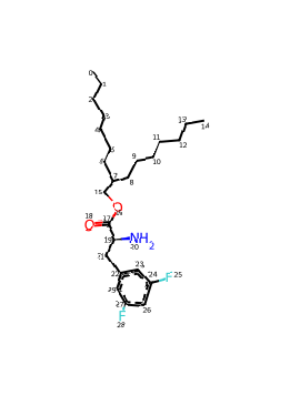 CCCCCCCC(CCCCCCC)COC(=O)[C@@H](N)Cc1cc(F)cc(F)c1